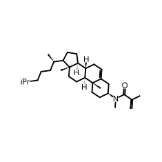 C=C(C)C(=O)N(C)[C@H]1CC[C@@]2(C)C(=CC[C@@H]3[C@@H]2CC[C@]2(C)C([C@H](C)CCCC(C)C)CC[C@@H]32)C1